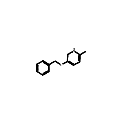 CC1=CC=C(OCc2ccccc2)CN1